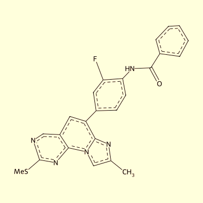 CSc1ncc2cc(-c3ccc(NC(=O)c4ccccc4)c(F)c3)c3nc(C)cn3c2n1